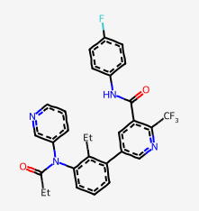 CCC(=O)N(c1cccnc1)c1cccc(-c2cnc(C(F)(F)F)c(C(=O)Nc3ccc(F)cc3)c2)c1CC